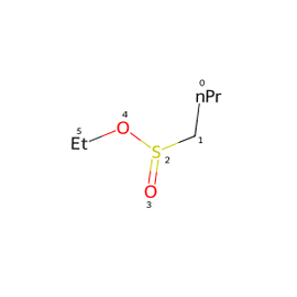 CCCCS(=O)OCC